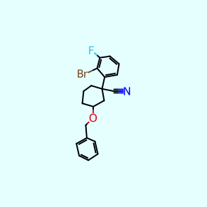 N#CC1(c2cccc(F)c2Br)CCCC(OCc2ccccc2)C1